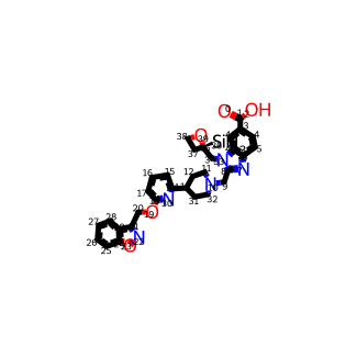 O=C(O)c1ccc2nc(CN3CCC(c4cccc(OCc5noc6ccccc56)n4)CC3)n(C[C@]3([SiH3])CCO3)c2c1